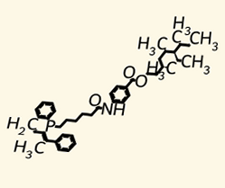 C=C/C(=C(\C)c1ccccc1)P(CCCCCC(=O)Nc1ccc(C(=O)OCC[C@@H](C)C[C@H](C)[C@H](CC)[C@@H](C)CC)cc1)c1ccccc1